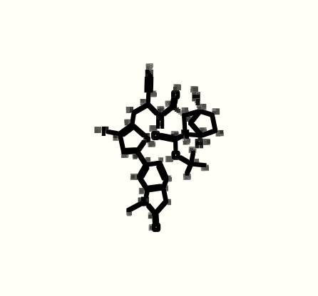 CN1C(=O)Cc2ccc(-c3cc(F)c(CC(C#N)NC(=O)[C@@H]4[C@H]5CC[C@H](C5)N4C(=O)OC(C)(C)C)s3)cc21